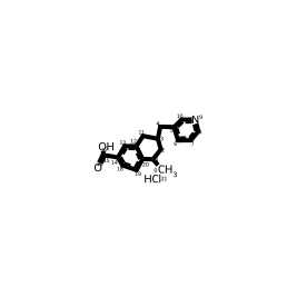 CC1CC(Cc2cccnc2)Cc2cc(C(=O)O)ccc21.Cl